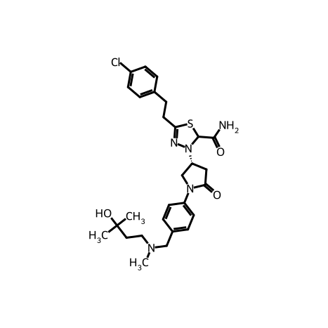 CN(CCC(C)(C)O)Cc1ccc(N2C[C@H](N3N=C(CCc4ccc(Cl)cc4)SC3C(N)=O)CC2=O)cc1